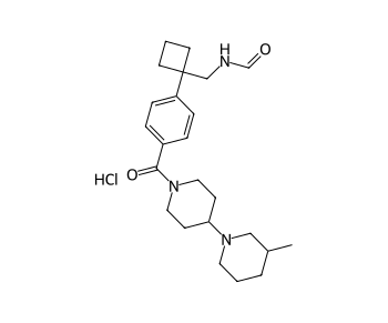 CC1CCCN(C2CCN(C(=O)c3ccc(C4(CNC=O)CCC4)cc3)CC2)C1.Cl